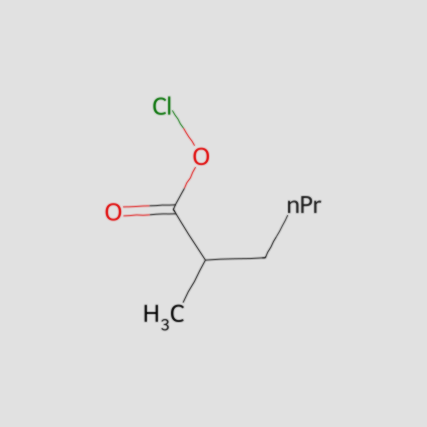 CCCCC(C)C(=O)OCl